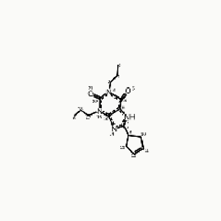 CCCn1c(=O)c2[nH]c(C3CC=CC3)nc2n(CCC)c1=O